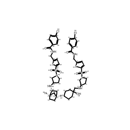 O=C(NCc1ccc(S(=O)(=O)N2CCC(NCC3(O)CCCCC3)C2)s1)c1ccc(Cl)cc1.O=C(NCc1ccc(S(=O)(=O)N2CCC(N[C@@H]3C[C@H]4CC[C@@H]3C4)C2)s1)c1ccc(Cl)cc1